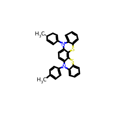 Cc1ccc(-n2c3ccccc3sc3c4sc5ccccc5n(C5=CC[C@@H](C)C=C5)c4ccc32)cc1